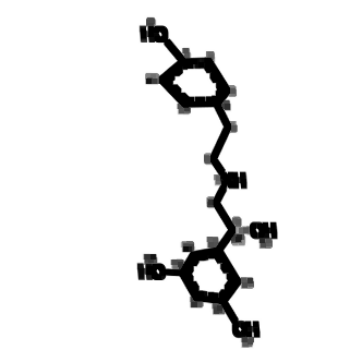 Oc1ccc(CCNC[C@H](O)c2cc(O)cc(O)c2)cc1